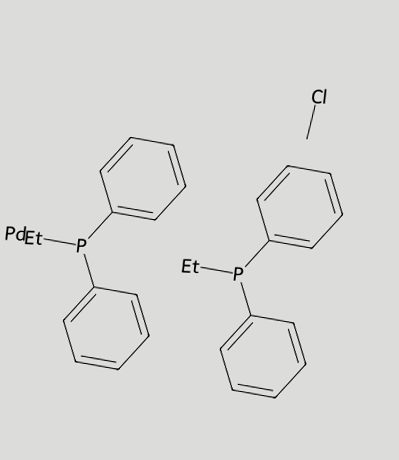 CCP(c1ccccc1)c1ccccc1.CCP(c1ccccc1)c1ccccc1.CCl.[Pd]